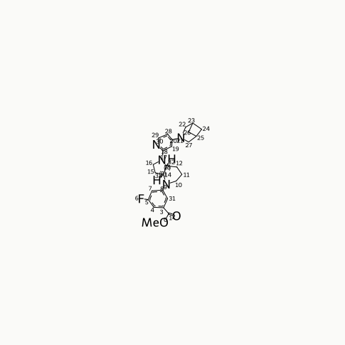 COC(=O)c1cc(F)cc(N2CCC[C@@H]3[C@H]2CCN3c2cc(N3CC4CC(C4)C3)ccn2)c1